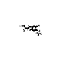 CS(=O)(=O)Nc1cc2[nH]c(C(=O)CC#N)cc2cc1F